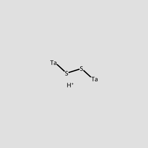 [H+].[Ta][S][S][Ta]